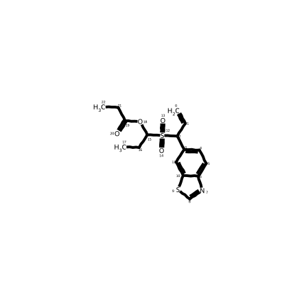 C=CC(c1ccc2ncsc2c1)S(=O)(=O)C(CC)OC(=O)CC